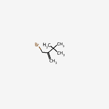 C=C(CBr)C(C)(C)C